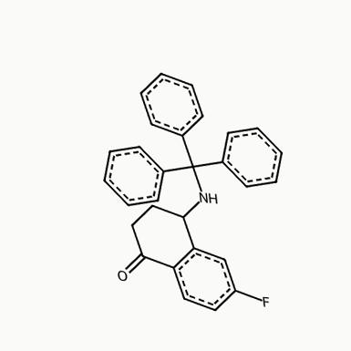 O=C1CCC(NC(c2ccccc2)(c2ccccc2)c2ccccc2)c2cc(F)ccc21